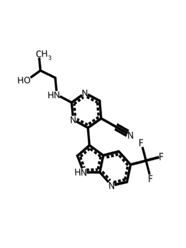 CC(O)CNc1ncc(C#N)c(-c2c[nH]c3ncc(C(F)(F)F)cc23)n1